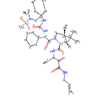 C=CCNC(=O)C(=O)C(CCC)NC(=O)[C@@H]1[C@@H]2[C@H](CN1C(=O)[C@@H](NC(=O)NC1(CN(C)S(C)(=O)=O)CCCCC1)C1CCCCC1)C2(C)C